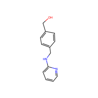 OCc1ccc(CNc2ccccn2)cc1